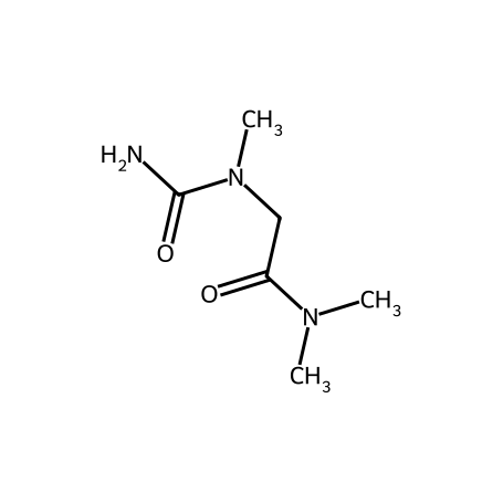 CN(C)C(=O)CN(C)C(N)=O